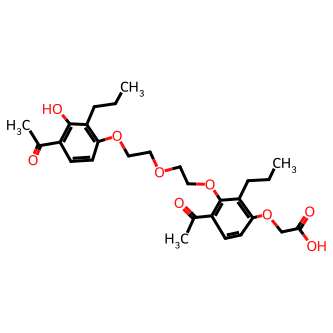 CCCc1c(OCCOCCOc2c(C(C)=O)ccc(OCC(=O)O)c2CCC)ccc(C(C)=O)c1O